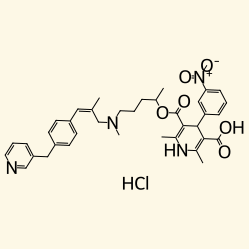 CC(=Cc1ccc(Cc2cccnc2)cc1)CN(C)CCCC(C)OC(=O)C1=C(C)NC(C)=C(C(=O)O)C1c1cccc([N+](=O)[O-])c1.Cl